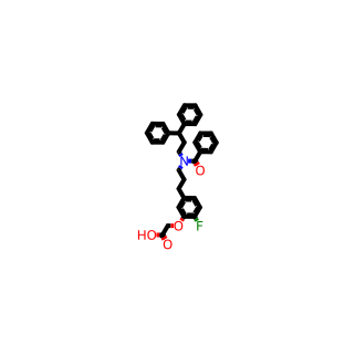 O=C(O)COc1cc(CCCN(CCC(c2ccccc2)c2ccccc2)C(=O)c2ccccc2)ccc1F